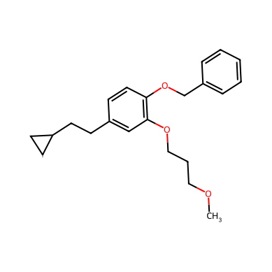 COCCCOc1cc(CCC2[CH]C2)ccc1OCc1ccccc1